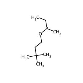 CCP(C)OCCC(C)(C)C